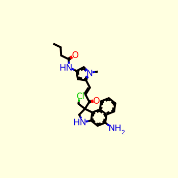 CCCC(=O)Nc1cc(C=CC(=O)C2(CCl)CNc3cc(N)c4ccccc4c32)n(C)c1